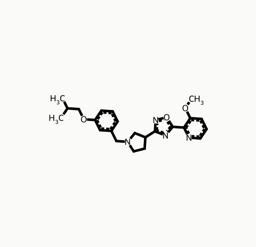 COc1cccnc1-c1nc(C2CCN(Cc3cccc(OCC(C)C)c3)C2)no1